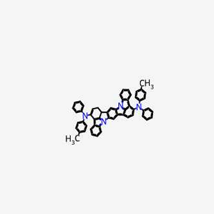 Cc1ccc(N(C2=CCC3c4cc5c(cc4-n4c3c2c2ccccc24)c2ccc(N(c3ccccc3)c3ccc(C)cc3)c3c4ccccc4n5c23)c2ccccc2)cc1